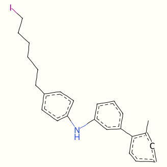 Cc1ccccc1-c1cccc(Nc2ccc(CCCCCCI)cc2)c1